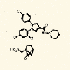 CC1(C)C2CCC1(CS(=O)(=O)O)C(=O)C2.O=C(NN1CCCCC1)C1=NN(c2ccc(Cl)cc2Cl)[C@@H](c2ccc(Cl)cc2)C1